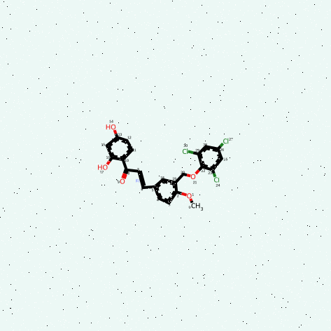 COc1ccc(/C=C/C(=O)c2ccc(O)cc2O)cc1COc1c(Cl)cc(Cl)cc1Cl